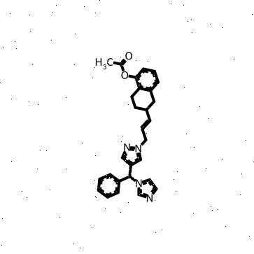 CC(=O)Oc1cccc2c1CCC(C=CCn1cc(C(c3ccccc3)n3ccnc3)cn1)C2